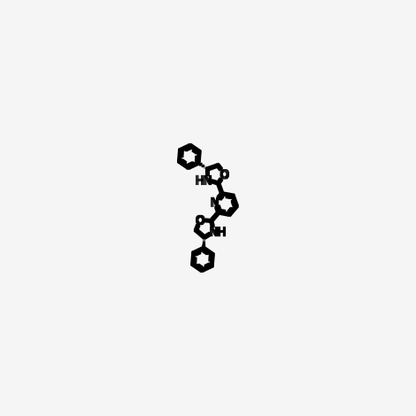 c1ccc([C@@H]2COC(c3cccc(C4N[C@H](c5ccccc5)CO4)n3)N2)cc1